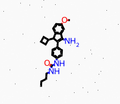 CCCCNC(=O)Nc1ccc(C2=C(N)c3cc(OC)ccc3C2C2CCC2)cc1